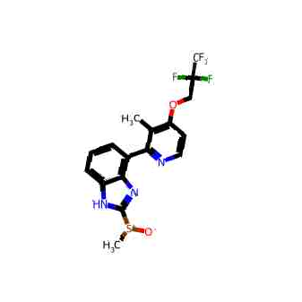 Cc1c(OCC(F)(F)C(F)(F)F)ccnc1-c1cccc2[nH]c([S+](C)[O-])nc12